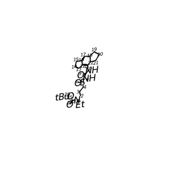 CCN(CCC[S+]([O-])NC(=O)NC1=C2CCCC2=CC2CCCC12)C(=O)OC(C)(C)C